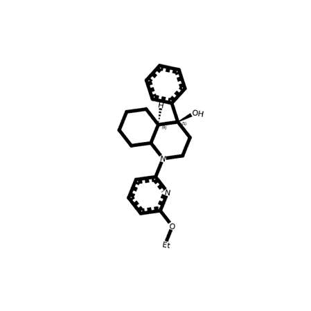 CCOc1cccc(N2CC[C@@](O)(c3ccccc3)[C@@H]3CCCCC32)n1